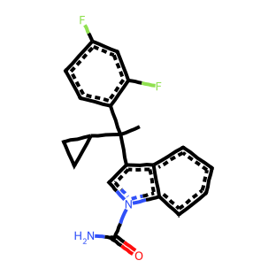 CC(c1ccc(F)cc1F)(c1cn(C(N)=O)c2[c]cccc12)C1CC1